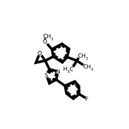 COc1ccc(C(C)(C)C)cc1C1(c2nc(-c3ccc(F)cc3)cs2)CO1